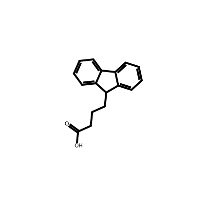 O=C(O)CCCC1c2ccccc2-c2ccccc21